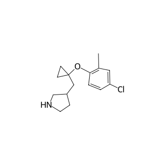 Cc1cc(Cl)ccc1OC1(CC2CCNC2)CC1